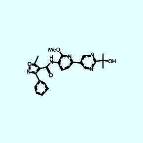 COc1nc(-c2cnc(C(C)(C)O)nc2)ccc1NC(=O)c1c(-c2ccccc2)noc1C